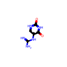 N=C(N)Nc1c[nH]c(=O)[nH]c1=O